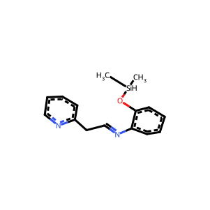 C[SiH](C)Oc1ccccc1N=CCc1ccccn1